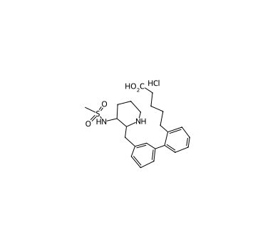 CS(=O)(=O)NC1CCCNC1Cc1cccc(-c2ccccc2CCCCC(=O)O)c1.Cl